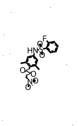 Cc1cc(NS(=O)(=O)c2ccccc2F)cc(C)c1S(=O)(=O)C[N+](=O)[O-]